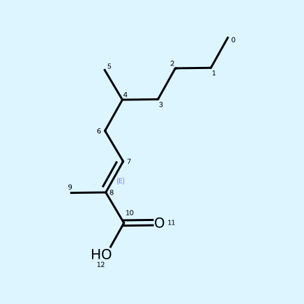 CCCCC(C)C/C=C(\C)C(=O)O